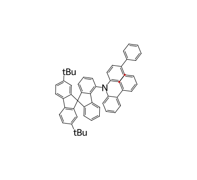 CC(C)(C)c1ccc2c(c1)C1(c3cc(C(C)(C)C)ccc3-2)c2ccccc2-c2c(N(c3ccc(-c4ccccc4)cc3)c3ccccc3-c3ccccc3)cccc21